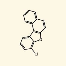 Clc1cccc2c1oc1ccc3ccccc3c12